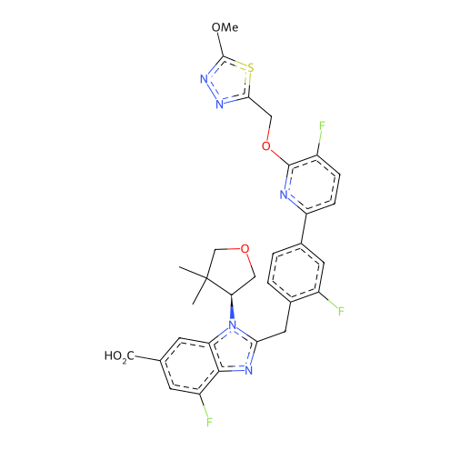 COc1nnc(COc2nc(-c3ccc(Cc4nc5c(F)cc(C(=O)O)cc5n4[C@@H]4COCC4(C)C)c(F)c3)ccc2F)s1